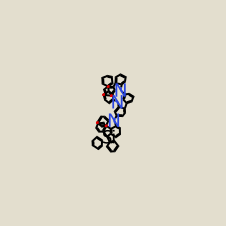 c1ccc(-c2cccc(-n3c4cc(-n5c6ccccc6c6c([Si](c7ccccc7)(c7ccccc7)c7ccccc7)cccc65)ccc4c4cccc(-n5c6ccccc6c6ccccc65)c43)c2)cc1